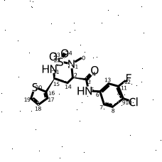 CN1[C@@H](C(=O)Nc2ccc(Cl)c(F)c2)C[C@@H](c2cccs2)NS1(=O)=O